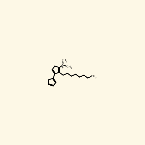 CCCCCCCCC1=C([SiH](C)C)C[C]=C1C1=CC=CC1